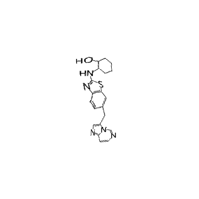 OC1CCCCC1Nc1nc2ccc(Cc3cnc4ccncn34)cc2s1